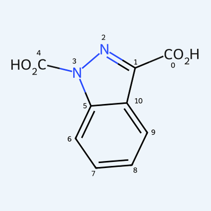 O=C(O)c1nn(C(=O)O)c2ccccc12